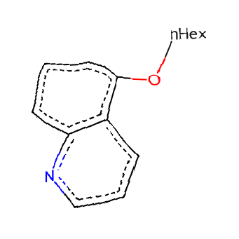 [CH2]CCCCCOc1cccc2ncccc12